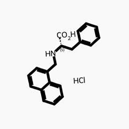 Cl.O=C(O)[C@H](Cc1ccccc1)NCc1cccc2ccccc12